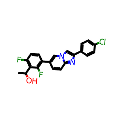 CC(O)c1c(F)ccc(-c2ccc3nc(-c4ccc(Cl)cc4)cn3c2)c1F